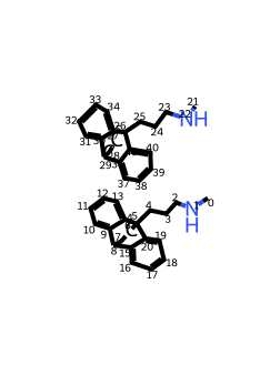 CNCCCC12CCC(c3ccccc31)c1ccccc12.CNCCCC12CCC(c3ccccc31)c1ccccc12